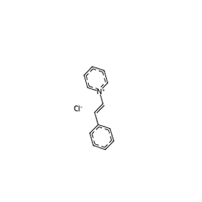 C(=C[n+]1ccccc1)c1ccccc1.[Cl-]